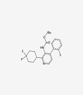 CC(C)(C)OC(=O)Nc1c(-c2ccccc2F)ccnc1C1CCC(F)(F)CC1